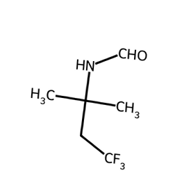 CC(C)(CC(F)(F)F)NC=O